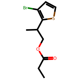 CCC(=O)OCC(C)c1sccc1Br